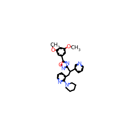 COc1cc(OC)cc(-c2nc(C(Cc3cccnc3N3CCCCC3)c3cccnc3)no2)c1